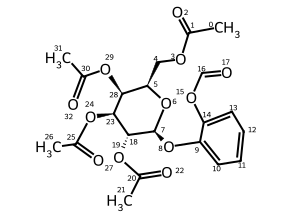 CC(=O)OC[C@H]1O[C@@H](Oc2ccccc2OC=O)[C@H](OC(C)=O)[C@@H](OC(C)=O)[C@H]1OC(C)=O